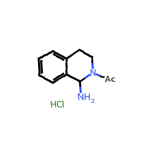 CC(=O)N1CCc2ccccc2C1N.Cl